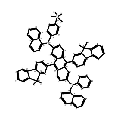 CC1(C)c2ccccc2-c2ccc(-c3c4ccc(N(c5ccc([SH](C)(C)(C)C)cc5)c5cccc6ccccc56)cc4c(-c4ccc5c(c4)C(C)(C)c4ccccc4-5)c4ccc(N(c5ccccc5)c5cccc6ccccc56)cc34)cc21